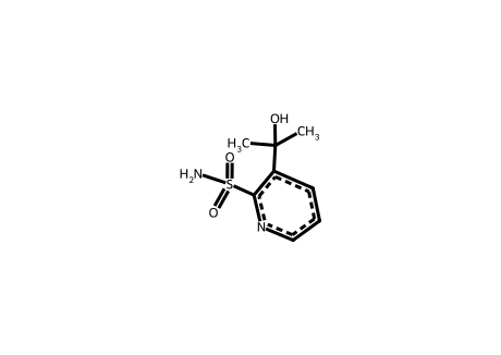 CC(C)(O)c1cccnc1S(N)(=O)=O